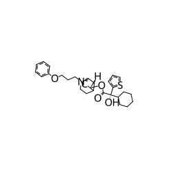 O=C(O[C@H]1C[N+]2(CCCOc3ccccc3)CCC1CC2)[C@@](O)(c1cccs1)C1CCCCC1